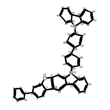 c1ccc(-c2ccc3c(c2)oc2cc4c(cc23)c2ccccc2n4-c2ccc(-c3ccc(-n4c5ccccc5c5ccccc54)cc3)cc2)cc1